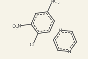 O=[N+]([O-])c1ccc(Cl)c([N+](=O)[O-])c1.c1cnccn1